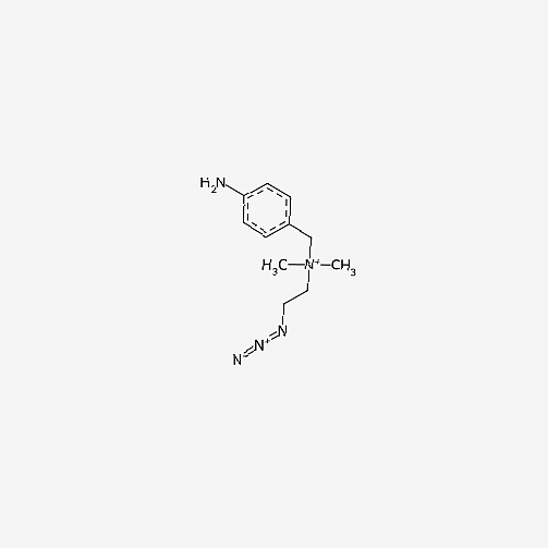 C[N+](C)(CCN=[N+]=[N-])Cc1ccc(N)cc1